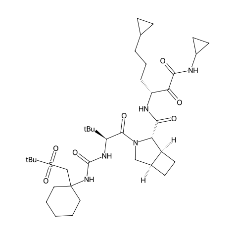 CC(C)(C)[C@H](NC(=O)NC1(CS(=O)(=O)C(C)(C)C)CCCCC1)C(=O)N1C[C@@H]2CC[C@@H]2[C@H]1C(=O)N[C@H](CCCC1CC1)C(=O)C(=O)NC1CC1